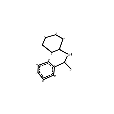 CC(NC1CCCCC1)c1ccccc1